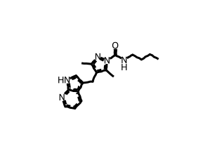 CCCCNC(=O)n1nc(C)c(Cc2c[nH]c3ncccc23)c1C